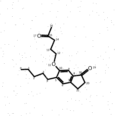 CCCCCc1cc2c(cc1OCCCC(C)=O)C(=O)CC2